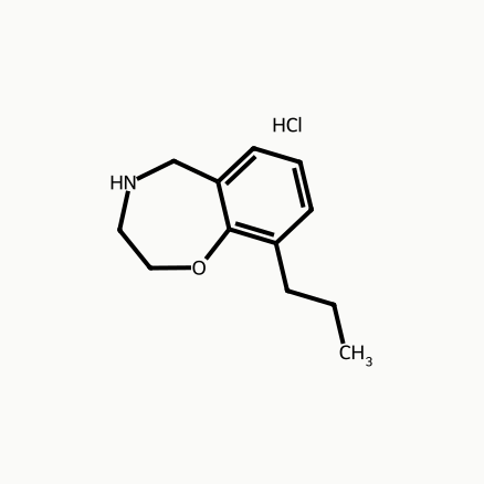 CCCc1cccc2c1OCCNC2.Cl